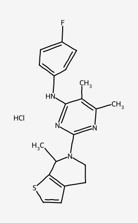 Cc1nc(N2CCc3ccsc3C2C)nc(Nc2ccc(F)cc2)c1C.Cl